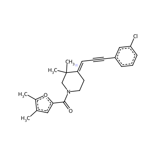 Cc1cc(C(=O)N2CC/C(=C\C#Cc3cccc(Cl)c3)C(C)(C)C2)oc1C